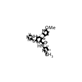 COc1ccc(Sc2ccc(Sc3nnc[nH]3)nc2C(=O)Nc2ccn(C)n2)cn1